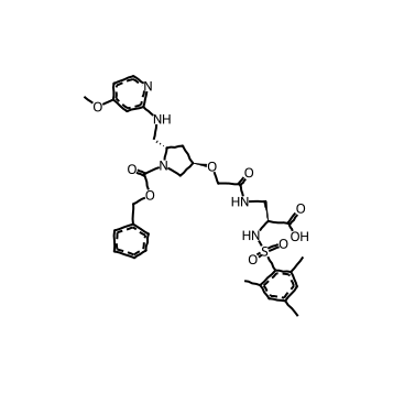 COc1ccnc(NC[C@@H]2C[C@@H](OCC(=O)NC[C@H](NS(=O)(=O)c3c(C)cc(C)cc3C)C(=O)O)CN2C(=O)OCc2ccccc2)c1